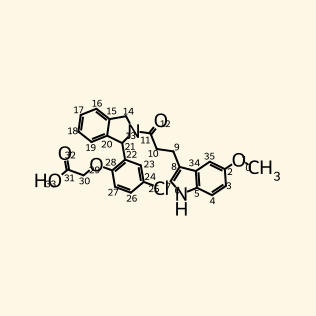 COc1ccc2[nH]cc(CCC(=O)N3Cc4ccccc4C3c3cc(Cl)ccc3OCC(=O)O)c2c1